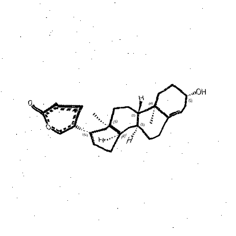 C[C@]12CC[C@H]3[C@@H](CCC4=C[C@@H](O)CC[C@@]43C)[C@H]1CC[C@@H]2c1ccc(=O)oc1